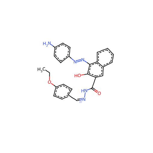 CCOc1ccc(/C=N\NC(=O)c2cc3ccccc3c(N=Nc3ccc(N)cc3)c2O)cc1